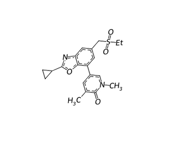 CCS(=O)(=O)Cc1cc(-c2cc(C)c(=O)n(C)c2)c2oc(C3CC3)nc2c1